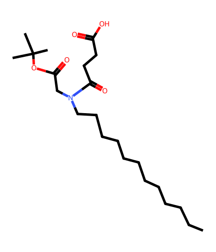 CCCCCCCCCCCCN(CC(=O)OC(C)(C)C)C(=O)CCC(=O)O